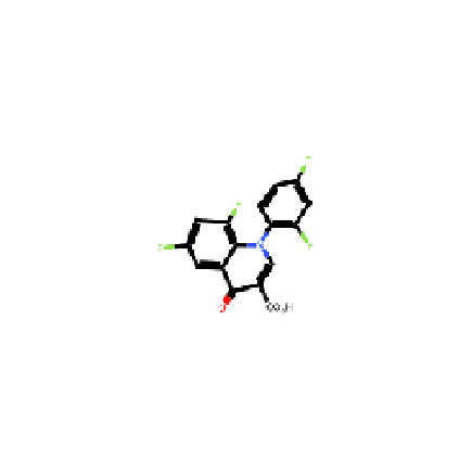 O=C(O)c1cn(-c2ccc(F)cc2F)c2c(F)cc(F)cc2c1=O